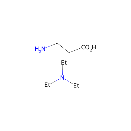 CCN(CC)CC.NCCC(=O)O